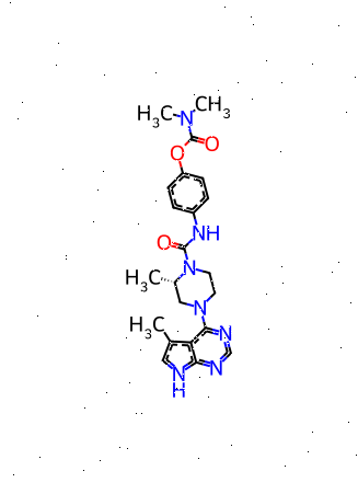 Cc1c[nH]c2ncnc(N3CCN(C(=O)Nc4ccc(OC(=O)N(C)C)cc4)[C@@H](C)C3)c12